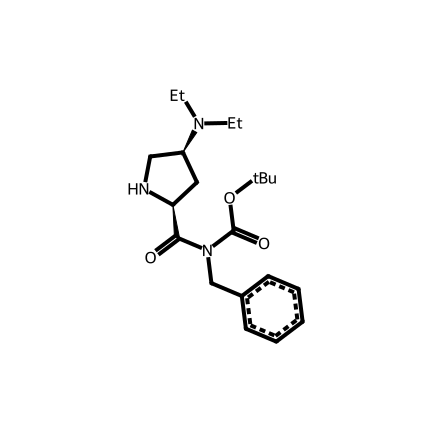 CCN(CC)[C@@H]1CN[C@H](C(=O)N(Cc2ccccc2)C(=O)OC(C)(C)C)C1